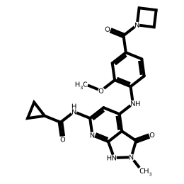 COc1cc(C(=O)N2CCC2)ccc1Nc1cc(NC(=O)C2CC2)nc2[nH]n(C)c(=O)c12